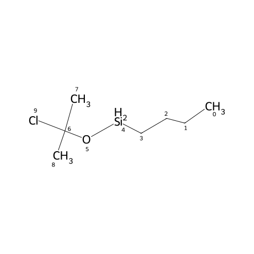 CCCC[SiH2]OC(C)(C)Cl